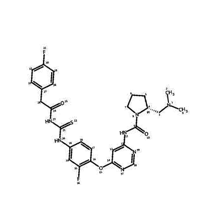 CN(C)C[C@H]1CCCN1C(=O)Nc1cc(Oc2ccc(NC(=S)NC(=O)Cc3ccc(F)cc3)cc2F)ncn1